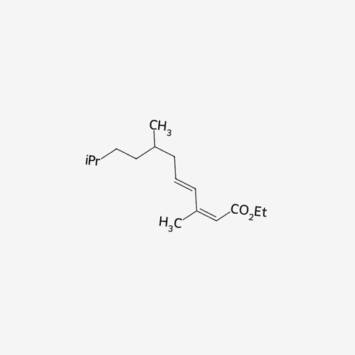 CCOC(=O)C=C(C)C=CCC(C)CCC(C)C